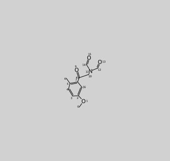 COc1ccc(C)c(C(=O)CN(C=O)C=O)c1